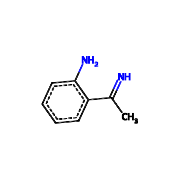 CC(=N)c1ccccc1N